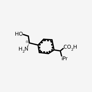 CC(C)C(C(=O)O)c1ccc([C@H](N)CO)cc1